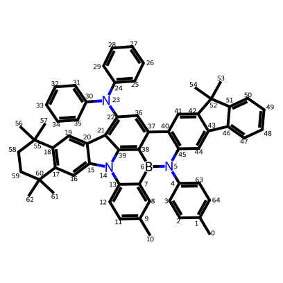 Cc1ccc(N2B3c4cc(C)ccc4-n4c5cc6c(cc5c5c(N(c7ccccc7)c7ccccc7)cc(c3c54)-c3cc4c(cc32)-c2ccccc2C4(C)C)C(C)(C)CCC6(C)C)cc1